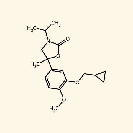 COc1ccc(C2(C)CN(C(C)C)C(=O)O2)cc1OCC1CC1